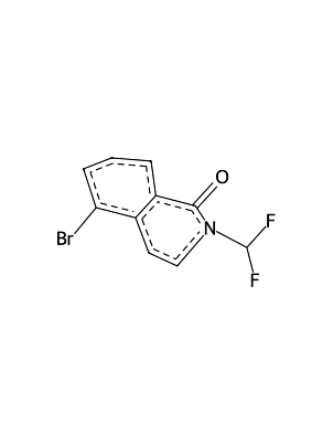 O=c1c2cccc(Br)c2ccn1C(F)F